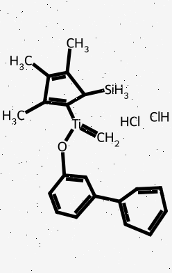 Cl.Cl.[CH2]=[Ti]([O]c1cccc(-c2ccccc2)c1)[C]1=C(C)C(C)=C(C)C1[SiH3]